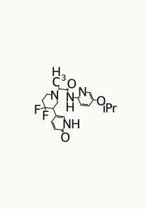 CC(C)Oc1ccc(NC(=O)C(C)N2CCC(F)(F)C(c3ccc(=O)[nH]c3)C2)nc1